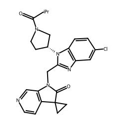 CC(C)C(=O)N1CC[C@@H](n2c(CN3C(=O)C4(CC4)c4ccncc43)nc3cc(Cl)ccc32)C1